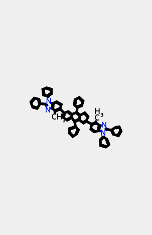 Cc1c(-c2ccc3c(-c4ccccc4)c4cc(-c5ccc6c(nc(-c7ccccc7)n6-c6ccccc6)c5C)ccc4c(-c4ccccc4)c3c2)ccc2c1nc(-c1ccccc1)n2-c1ccccc1